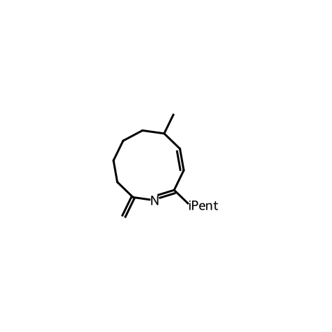 C=C1CCCCC(C)/C=C\C(C(C)CCC)=N/1